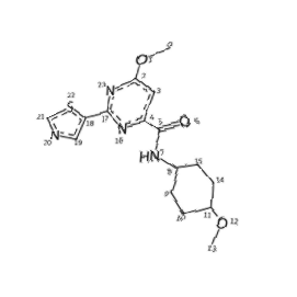 COc1cc(C(=O)NC2CCC(OC)CC2)nc(-c2cncs2)n1